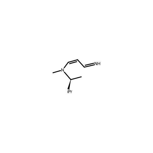 CC(C)[C@H](C)N(C)/C=C\C=N